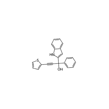 OC(C#Cc1cccs1)(c1ccccc1)c1cc2ccccc2[nH]1